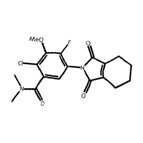 COc1c(F)c(N2C(=O)C3=C(CCCC3)C2=O)cc(C(=O)N(C)C)c1Cl